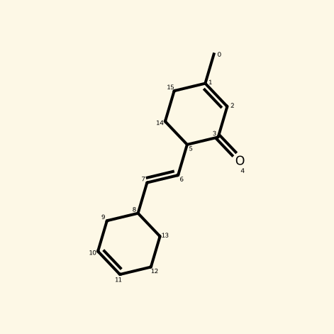 CC1=CC(=O)C(/C=C/C2CC=CCC2)CC1